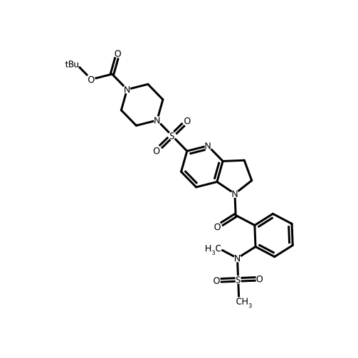 CN(c1ccccc1C(=O)N1CCc2nc(S(=O)(=O)N3CCN(C(=O)OC(C)(C)C)CC3)ccc21)S(C)(=O)=O